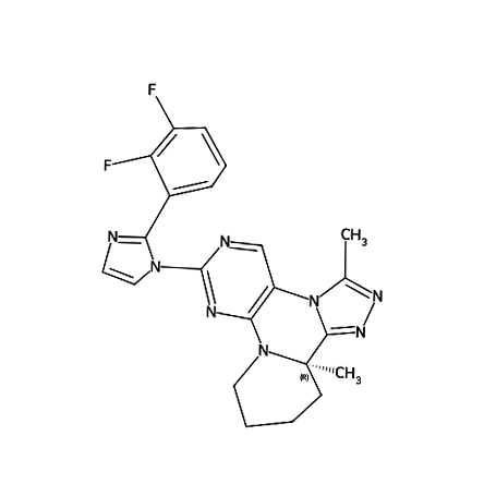 Cc1nnc2n1-c1cnc(-n3ccnc3-c3cccc(F)c3F)nc1N1CCCC[C@]21C